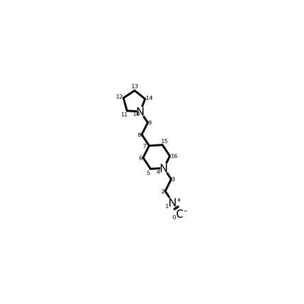 [C-]#[N+]CCN1CCC(CCN2CCCC2)CC1